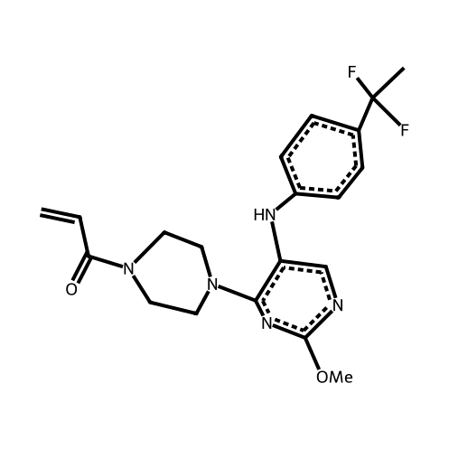 C=CC(=O)N1CCN(c2nc(OC)ncc2Nc2ccc(C(C)(F)F)cc2)CC1